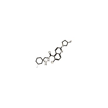 C[C@@H]1CCC[C@](O)(CNC(=O)c2c(Cl)ccc3nc(N4CC[C@@H](F)C4)ccc23)C1